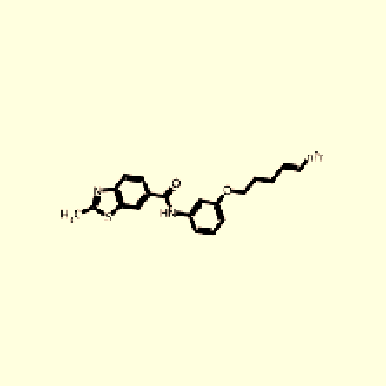 CCCC=CCCCOc1cccc(NC(=O)c2ccc3nc(C)sc3c2)c1